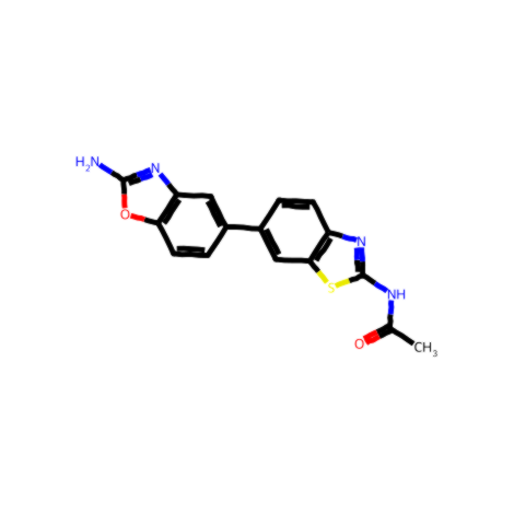 CC(=O)Nc1nc2ccc(-c3ccc4oc(N)nc4c3)cc2s1